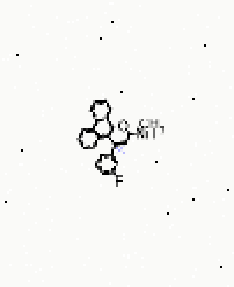 CNC(=O)/C=C(/c1cccc(F)c1)c1cc2ccccc2c2ccccc12